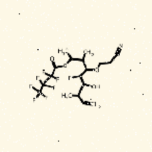 C=CC(C)C(O)C(F)C(OCCC#N)C(C)C(C)OC(=O)C(F)(F)C(F)(F)C(F)(F)F